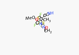 C=CC(=O)N1CCc2nc(-c3c(C)c(-c4ccc5c(c4)CCNC5)c4c(F)csc4c3-c3c(F)cc(F)cc3OCCOC)sc2C1